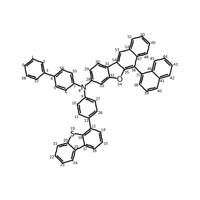 c1ccc(-c2ccc(N(c3ccc(-c4cccc5c4sc4ccccc45)cc3)c3ccc4c(c3)oc3c(-c5cccc6ccccc56)c5ccccc5cc34)cc2)cc1